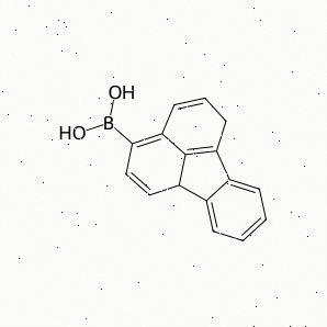 OB(O)C1=C2C=CCC3=C2C(C=C1)c1ccccc13